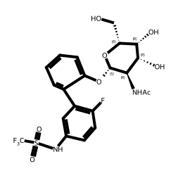 CC(=O)N[C@H]1[C@H](Oc2ccccc2-c2cc(NS(=O)(=O)C(F)(F)F)ccc2F)O[C@H](CO)[C@H](O)[C@@H]1O